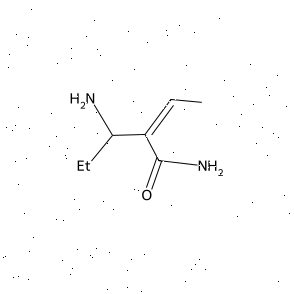 CC=C(C(N)=O)C(N)CC